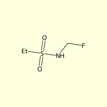 CCS(=O)(=O)NCF